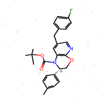 Cc1ccc([C@H]2COc3ncc(Cc4ccc(F)cc4)cc3N2C(=O)OC(C)(C)C)cc1